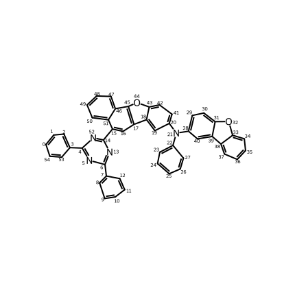 c1ccc(-c2nc(-c3ccccc3)nc(-c3cc4c5cc(N(c6ccccc6)c6ccc7oc8ccccc8c7c6)ccc5oc4c4ccccc34)n2)cc1